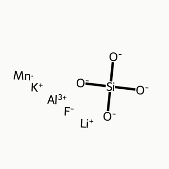 [Al+3].[F-].[K+].[Li+].[Mn].[O-][Si]([O-])([O-])[O-]